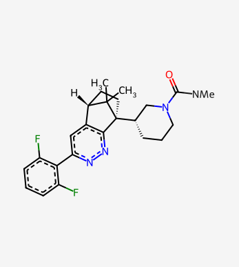 CNC(=O)N1CCC[C@H]([C@@]23CC[C@@H](c4cc(-c5c(F)cccc5F)nnc42)C3(C)C)C1